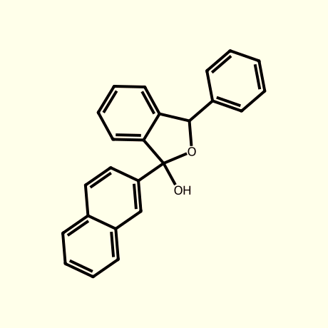 OC1(c2ccc3ccccc3c2)OC(c2ccccc2)c2ccccc21